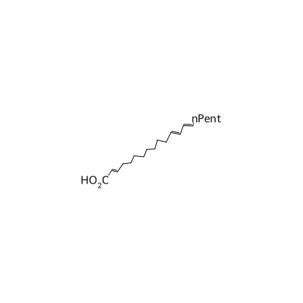 CCCCCC=CC=CCCCCCCCCC=CC(=O)O